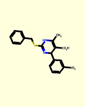 CC1=C(C(=O)O)C(c2cccc([N+](=O)[O-])c2)N=C(SCc2ccccc2)N1